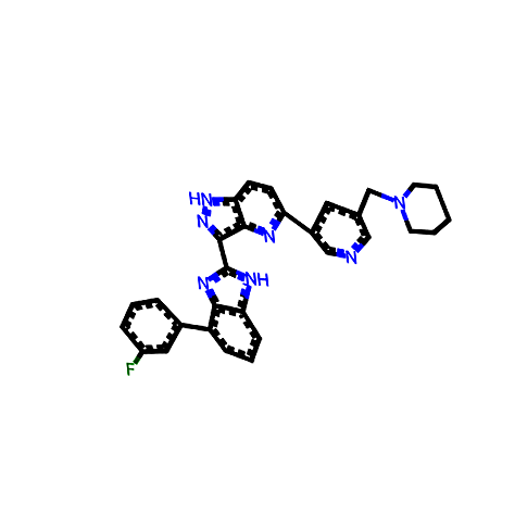 Fc1cccc(-c2cccc3[nH]c(-c4n[nH]c5ccc(-c6cncc(CN7CCCCC7)c6)nc45)nc23)c1